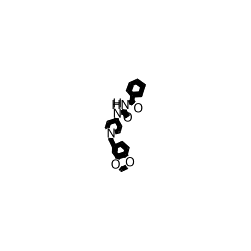 O=C(NC(=O)c1ccccc1)NC1CCN(Cc2ccc3c(c2)OCCO3)CC1